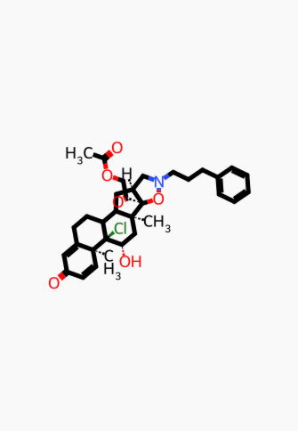 CC(=O)OCC(=O)[C@@]12ON(CCCc3ccccc3)C[C@@H]1CC1C3CCC4=CC(=O)C=C[C@]4(C)[C@@]3(Cl)[C@@H](O)C[C@@]12C